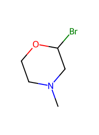 CN1CCOC(Br)C1